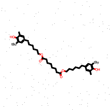 Cc1cc(CCCCCCOC(=O)CCCCCCC(=O)OCCCCCCc2cc(C)c(O)c(C(C)(C)C)c2)cc(C(C)(C)C)c1O